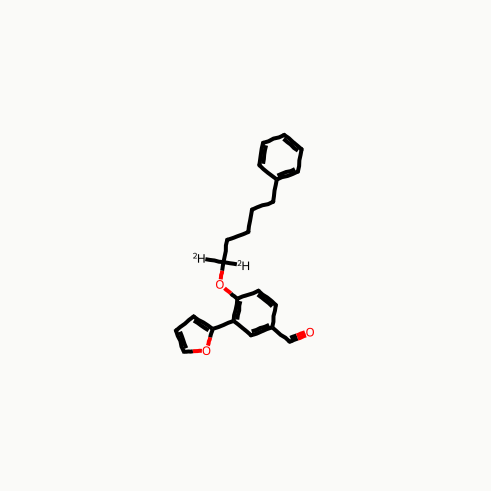 [2H]C([2H])(CCCCc1ccccc1)Oc1ccc(C=O)cc1-c1ccco1